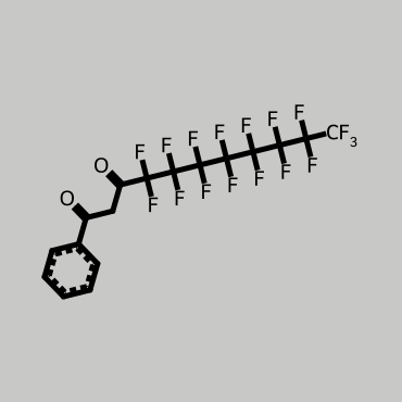 O=C(CC(=O)C(F)(F)C(F)(F)C(F)(F)C(F)(F)C(F)(F)C(F)(F)C(F)(F)C(F)(F)F)c1ccccc1